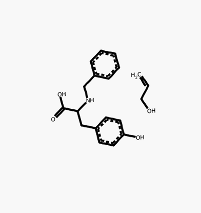 C=CCO.O=C(O)C(Cc1ccc(O)cc1)NCc1ccccc1